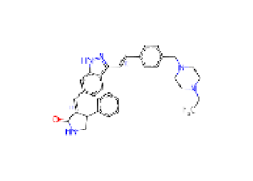 O=C1NCC(c2ccccc2)/C1=C\c1ccc2c(/C=C/c3ccc(CN4CCN(CC(F)(F)F)CC4)cc3)n[nH]c2c1